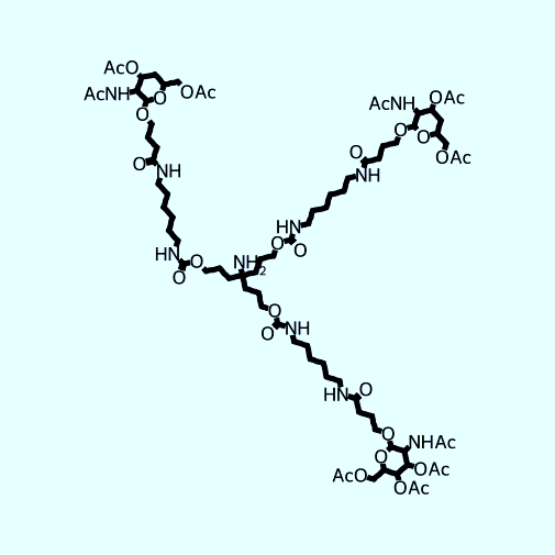 CC(=O)NC1C(OC(C)=O)CC(COC(C)=O)OC1OCCCC(=O)NCCCCCCNC(=O)OCCCC(N)(CCCOC(=O)NCCCCCCNC(=O)CCCOC1OC(COC(C)=O)CC(OC(C)=O)C1NC(C)=O)CCCOC(=O)NCCCCCCNC(=O)CCCOC1OC(COC(C)=O)C(OC(C)=O)C(OC(C)=O)C1NC(C)=O